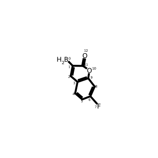 Bc1cc2ccc(F)cc2oc1=O